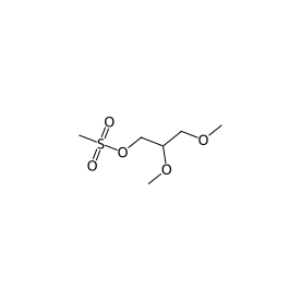 COCC(COS(C)(=O)=O)OC